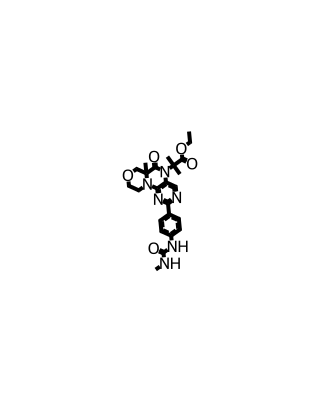 CCOC(=O)C(C)(C)N1C(=O)C2(C)COCCN2c2nc(-c3ccc(NC(=O)NC)cc3)ncc21